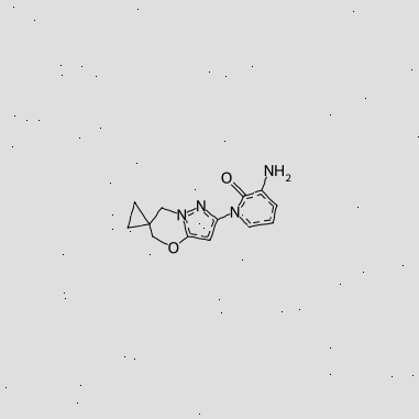 Nc1cccn(-c2cc3n(n2)CC2(CC2)CO3)c1=O